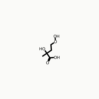 CC(O)(CCOO)C(=O)O